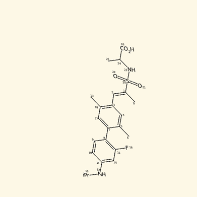 C/C(=C\c1cc(C)c(-c2ccc(NC(C)C)cc2F)cc1C)S(=O)(=O)NC(C)C(=O)O